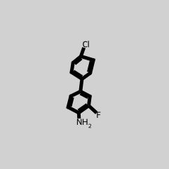 Nc1ccc(-c2ccc(Cl)cc2)cc1F